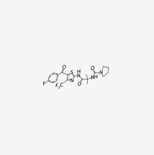 CC(C)(NC(=O)N1CCCC1)C(=O)Nc1nc(C(F)(F)F)c(C(=O)c2ccc(F)cc2)s1